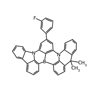 CC1(C)c2ccccc2N2c3cc(-c4cccc(F)c4)cc4c3B(c3cccc1c32)c1cccc2c3ccccc3n-4c12